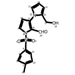 Cc1ccc(S(=O)(=O)n2ccc(-n3cccc3CO)c2C=O)cc1